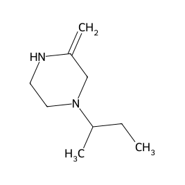 C=C1CN(C(C)CC)CCN1